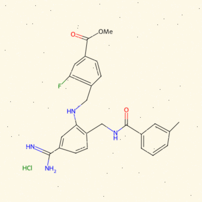 COC(=O)c1ccc(CNc2cc(C(=N)N)ccc2CNC(=O)c2cccc(C)c2)c(F)c1.Cl